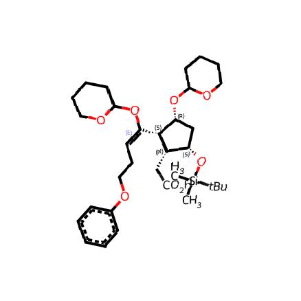 CC(C)(C)[Si](C)(C)O[C@H]1C[C@@H](OC2CCCCO2)[C@@H](/C(=C\CCOc2ccccc2)OC2CCCCO2)[C@H]1CC(=O)O